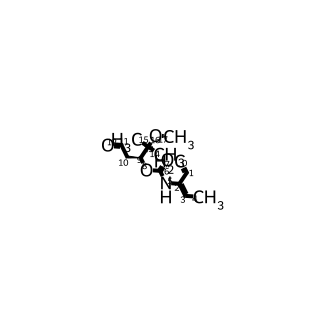 C=C/C(=C\C)NC(=O)O[C@@H](CC=O)C(C)(C)OC